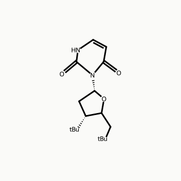 CC(C)(C)CC1O[C@@H](n2c(=O)cc[nH]c2=O)C[C@H]1C(C)(C)C